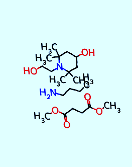 CC1(C)CC(O)CC(C)(C)N1CCO.CCCCN.COC(=O)CCC(=O)OC